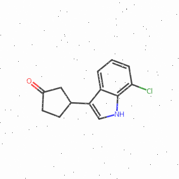 O=C1CCC(c2c[nH]c3c(Cl)cccc23)C1